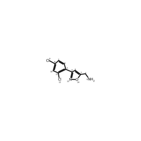 NCc1cc(-c2ccc(Cl)cc2Cl)no1